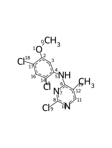 COc1cc(Nc2nc(Cl)ncc2C)c(Cl)cc1Cl